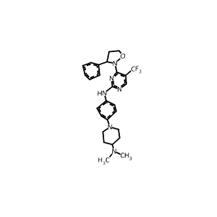 CN(C)C1CCN(c2ccc(Nc3ncc(C(F)(F)F)c(N4OCCC4c4ccccc4)n3)cc2)CC1